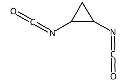 O=C=NC1CC1N=C=O